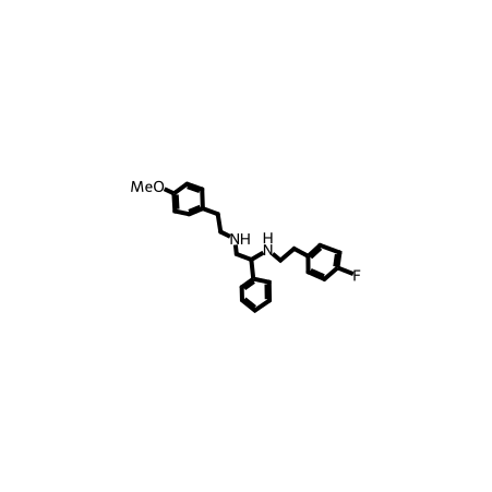 COc1ccc(CCNCC(NCCc2ccc(F)cc2)c2ccccc2)cc1